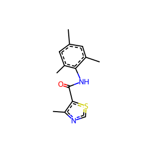 Cc1cc(C)c(NC(=O)c2scnc2C)c(C)c1